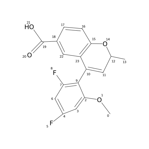 COc1cc(F)cc(F)c1C1=CC(C)Oc2ccc(C(=O)O)cc21